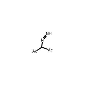 CC(=O)C(N=N)C(C)=O